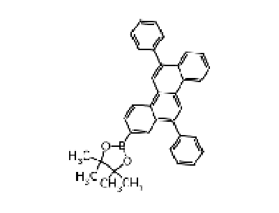 CC1(C)OB(c2ccc3c(c2)c(-c2ccccc2)cc2c4ccccc4c(-c4ccccc4)cc32)OC1(C)C